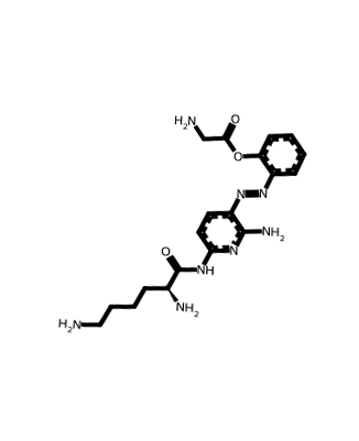 NCCCC[C@H](N)C(=O)Nc1ccc(/N=N/c2ccccc2OC(=O)CN)c(N)n1